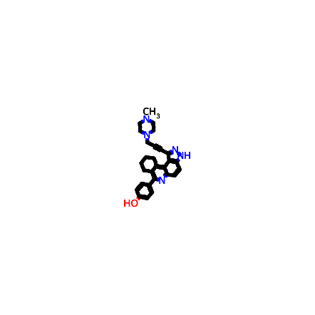 CN1CCN(CC#Cc2n[nH]c3ccc4nc(-c5ccc(O)cc5)c5c(c4c23)CCCC5)CC1